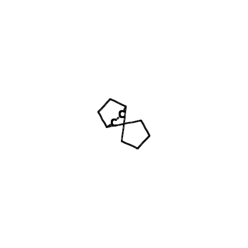 C1CCC2(C1)C1CCC2CC1